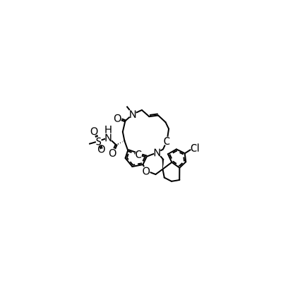 CN1C/C=C/CCCCN2C[C@@]3(CCCc4cc(Cl)ccc43)COc3ccc(cc32)[C@H](C(=O)NS(C)(=O)=O)CC1=O